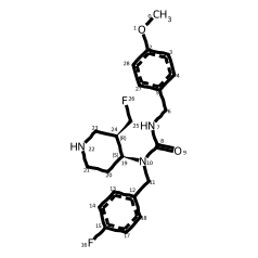 COc1ccc(CNC(=O)N(Cc2ccc(F)cc2)[C@H]2CCNC[C@H]2CF)cc1